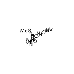 CO[C@H]1C[C@H](Oc2cc3nn(C4CCC5(CC4)CN(C(C)=O)C5)cc3cc2C(=O)Nc2cnc3cccnn23)C1